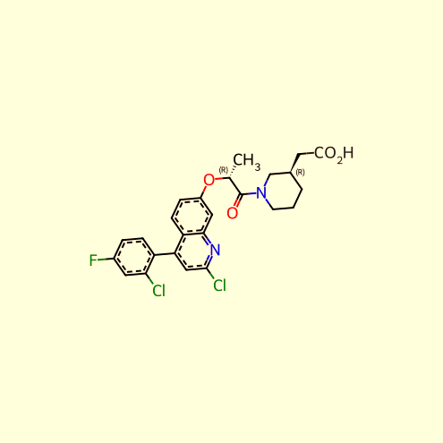 C[C@@H](Oc1ccc2c(-c3ccc(F)cc3Cl)cc(Cl)nc2c1)C(=O)N1CCC[C@H](CC(=O)O)C1